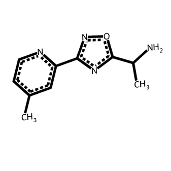 Cc1ccnc(-c2noc(C(C)N)n2)c1